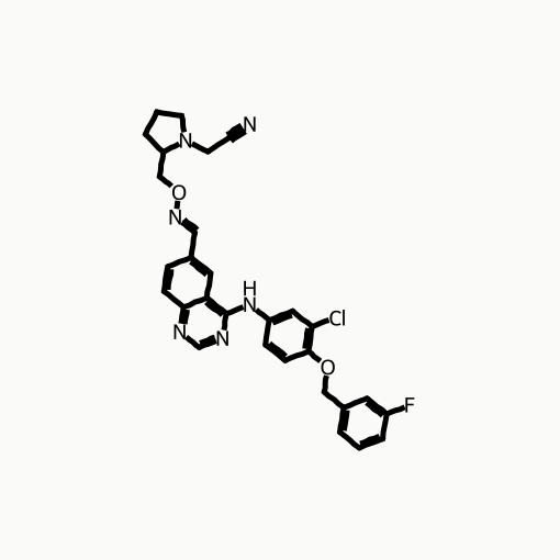 N#CCN1CCCC1CO/N=C/c1ccc2ncnc(Nc3ccc(OCc4cccc(F)c4)c(Cl)c3)c2c1